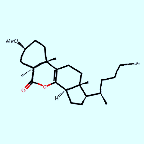 CO[C@H]1CC[C@]2(C)C3=C(OC(=O)[C@@]2(C)C1)[C@@H]1CC[C@H]([C@H](C)CCCC(C)C)[C@@]1(C)CC3